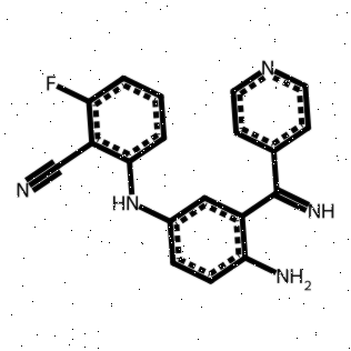 N#Cc1c(F)cccc1Nc1ccc(N)c(C(=N)c2ccncc2)c1